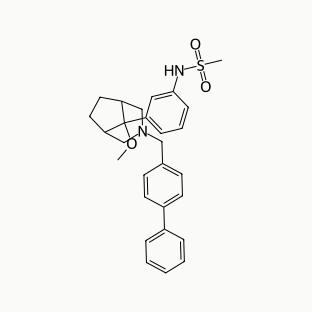 COC1(c2cccc(NS(C)(=O)=O)c2)C2CCC1CN(Cc1ccc(-c3ccccc3)cc1)C2